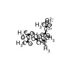 CC(C)=O.CC(C)=O.C[C](=O)[V+3][C](C)=O.C[C](=O)[V+3][C](C)=O.[O-2].[O-2].[O-2]